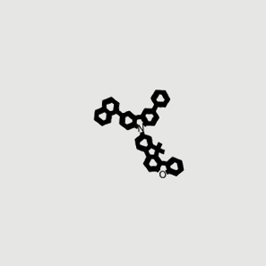 CC1(C)c2cc(-n3c4ccc(-c5ccccc5)cc4c4cc(-c5cccc6ccccc56)ccc43)ccc2-c2ccc3oc4ccccc4c3c21